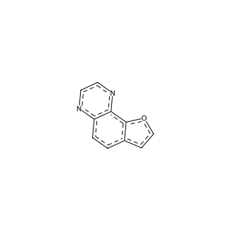 c1cnc2c(ccc3ccoc32)n1